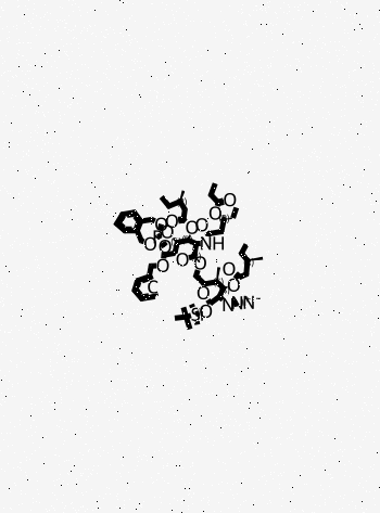 CCC(=O)O[C@H](CC)CC(=O)NC1[C@H](OCC2OC(O[Si](C)(C)C(C)(C)C)C(N=[N+]=[N-])[C@@H](OC(=O)C[C@H](C)CC)[C@@H]2C)OC(COCc2ccccc2)[C@@H](OP2(=O)OCc3ccccc3CO2)[C@@H]1OC(=O)C[C@H](C)CC